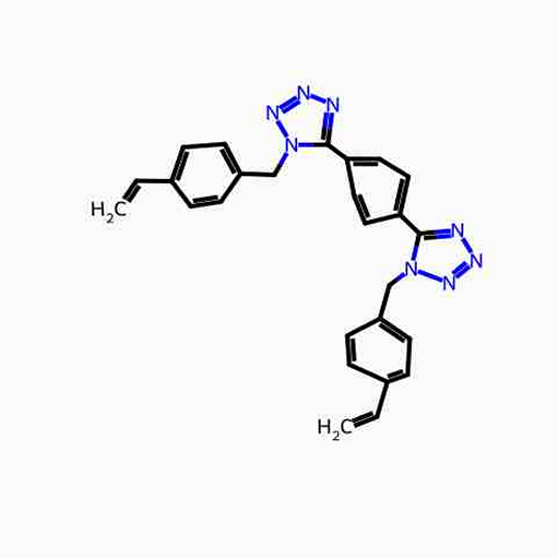 C=Cc1ccc(Cn2nnnc2-c2ccc(-c3nnnn3Cc3ccc(C=C)cc3)cc2)cc1